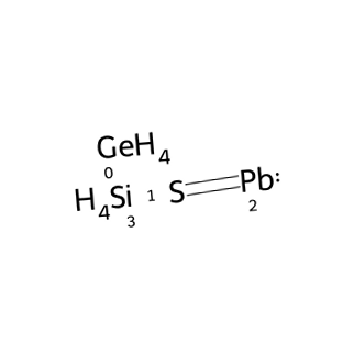 [GeH4].[S]=[Pb].[SiH4]